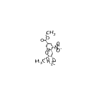 CCOC(=O)/C(=C\c1ncc(C(=O)OCC)cc1[N+](=O)[O-])OC